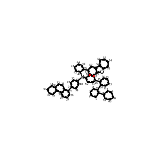 c1ccc(-c2ccccc2-c2ccccc2-c2ccc(N(c3ccc(-c4cccc5c4ccc4ccccc45)cc3)c3ccccc3-c3ccc4oc5ccccc5c4c3)cc2)cc1